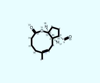 C/C1=C/C[C@H]2[C@H](CC[C@@H]2C=O)OC(=O)CCC1